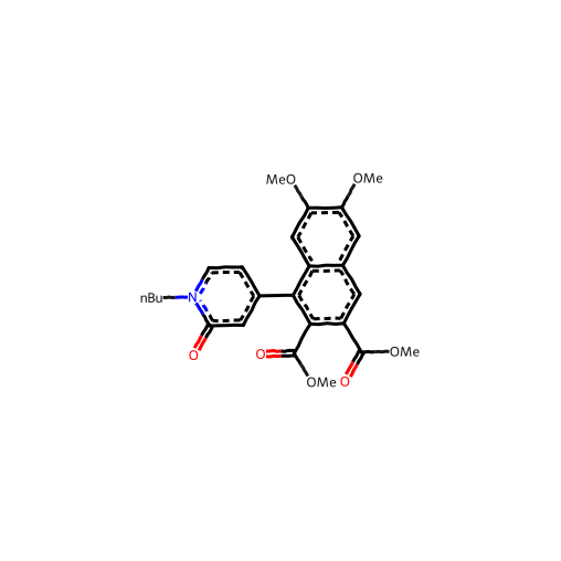 CCCCn1ccc(-c2c(C(=O)OC)c(C(=O)OC)cc3cc(OC)c(OC)cc23)cc1=O